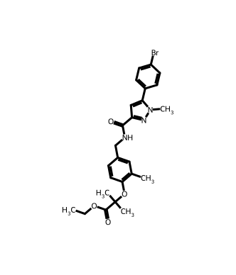 CCOC(=O)C(C)(C)Oc1ccc(CNC(=O)c2cc(-c3ccc(Br)cc3)n(C)n2)cc1C